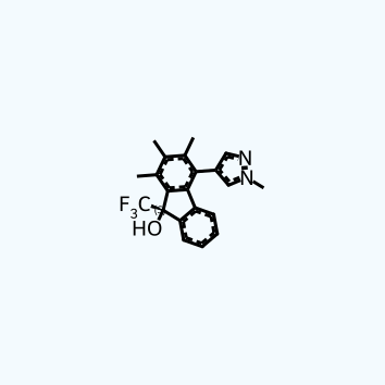 Cc1c(C)c(-c2cnn(C)c2)c2c(c1C)[C@](O)(C(F)(F)F)c1ccccc1-2